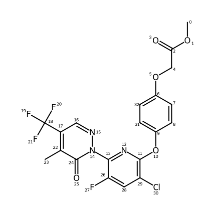 COC(=O)COc1ccc(Oc2nc(-n3ncc(C(F)(F)F)c(C)c3=O)c(F)cc2Cl)cc1